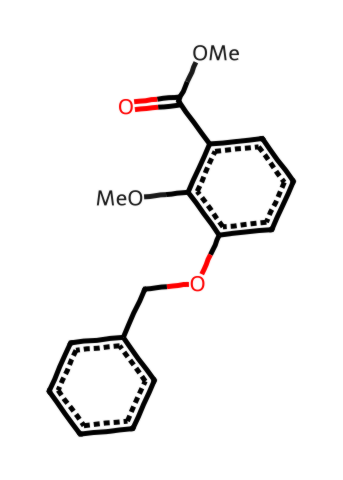 COC(=O)c1cccc(OCc2ccccc2)c1OC